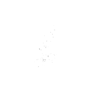 O=C(NCC1CCN2CCCCC2C1)c1c2n(c3ccccc13)CCCO2